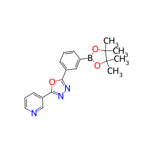 CC1(C)OB(c2cccc(-c3nnc(-c4cccnc4)o3)c2)OC1(C)C